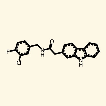 O=C(Cc1ccc2c(c1)[nH]c1ccccc12)NCc1ccc(F)c(Cl)c1